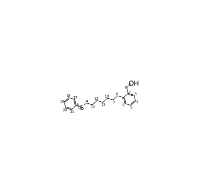 OCc1ccccc1CCCCCCCSc1ccccc1